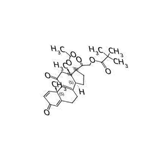 CC(=O)O[C@]1(C(=O)COC(=O)C(C)(C)C)CC[C@H]2C3=C(C(=O)C[C@@]21C)[C@@]1(C)C=CC(=O)C=C1CC3